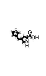 O=C(O)[C@@H]1CC(Cc2ccsc2)CN1